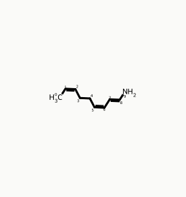 C/C=C\CC/C=C\C=C\N